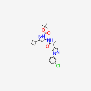 CC(C(=O)Nc1cc(C2CCC2)nn1C(=O)OC(C)(C)C)c1cnn(-c2cccc(Cl)c2)c1